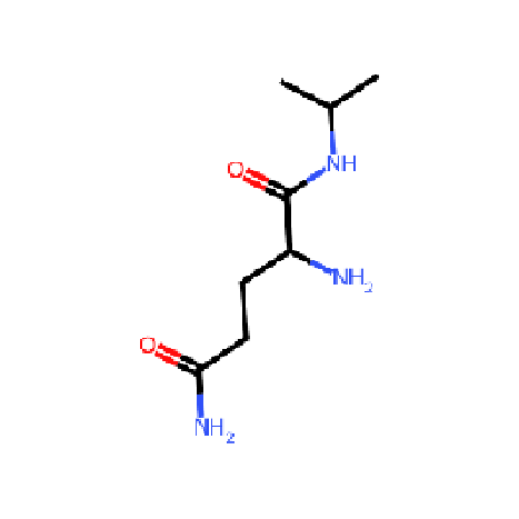 CC(C)NC(=O)C(N)CCC(N)=O